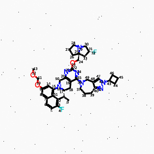 CCc1c(F)ccc2cc(OCOC)cc(N3CCc4c(nc(OC[C@@]56CCCN5C[C@H](F)C6)nc4N4CCCc5nn(C6CCC6)cc5C4)C3)c12